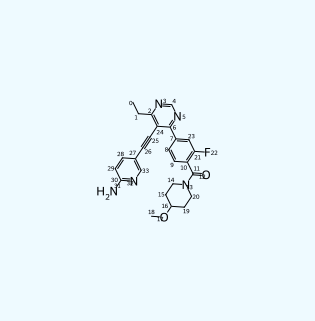 CCc1ncnc(-c2ccc(C(=O)N3CCC(OC)CC3)c(F)c2)c1C#Cc1ccc(N)nc1